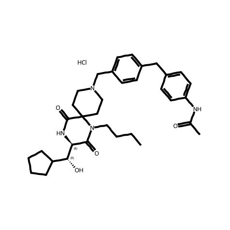 CCCCN1C(=O)[C@@H]([C@H](O)C2CCCC2)NC(=O)C12CCN(Cc1ccc(Cc3ccc(NC(C)=O)cc3)cc1)CC2.Cl